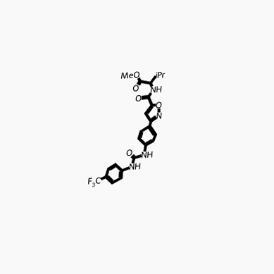 COC(=O)C(NC(=O)c1cc(-c2ccc(NC(=O)Nc3ccc(C(F)(F)F)cc3)cc2)no1)C(C)C